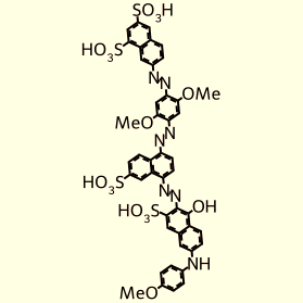 COc1ccc(Nc2ccc3c(O)c(N=Nc4ccc(N=Nc5cc(OC)c(N=Nc6ccc7cc(S(=O)(=O)O)cc(S(=O)(=O)O)c7c6)cc5OC)c5ccc(S(=O)(=O)O)cc45)c(S(=O)(=O)O)cc3c2)cc1